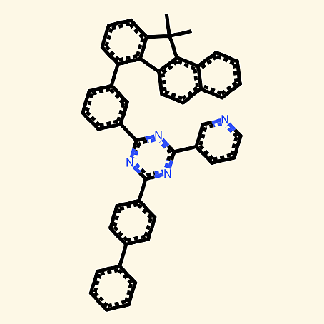 CC1(C)c2cccc(-c3cccc(-c4nc(-c5ccc(-c6ccccc6)cc5)nc(-c5cccnc5)n4)c3)c2-c2ccc3ccccc3c21